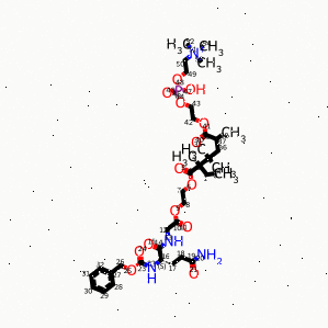 CCC(C)(C(=O)OCCOC(=O)CNC(=O)[C@H](CCC(N)=O)NC(=O)OCc1ccccc1)C(C)(C)CC(C)C(=O)OCCOP(=O)(O)OCC[N+](C)(C)C